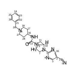 N#Cc1cnc(N2C[C@@H]3C[C@H]2CN3C(=O)NC2CCN(Cc3ccccc3)CC2)nc1